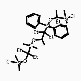 CCC(CC)(O[Si](C)(C)Cl)[Si](C)(C)OC(C)C(CC)(CC)[Si](O[C@](C)(CC)[Si](C)(C)Cl)(c1ccccc1)c1ccccc1